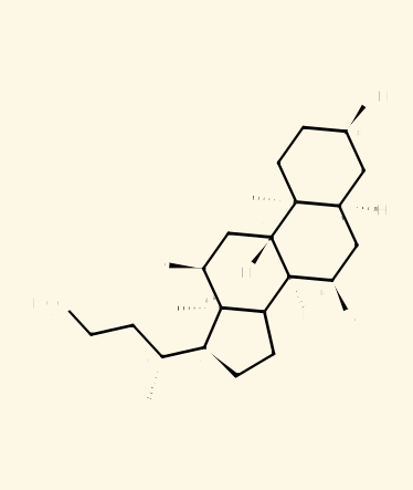 C[C@H](CCC(=O)O)[C@@H]1CCC2[C@@H]3[C@H](O)C[C@@H]4C[C@H](O)CC[C@]4(C)[C@H]3C[C@H](O)[C@@]21C